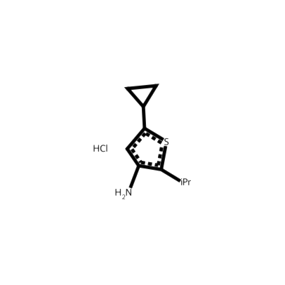 CC(C)c1sc(C2CC2)cc1N.Cl